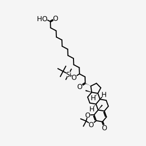 CC1(C)OC2=C(O1)[C@@]1(C)C(=CC2=O)CC[C@@H]2[C@@H]1CC[C@]1(C)[C@H](C(=O)CC(CCCCCCCCCCC(=O)O)O[Si](C)(C)C(C)(C)C)CC[C@@H]21